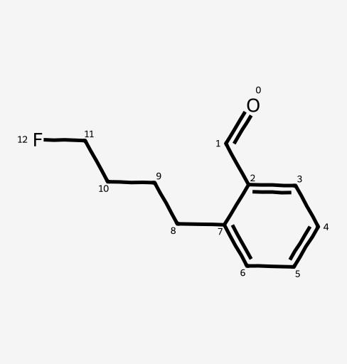 O=Cc1ccccc1CCCCF